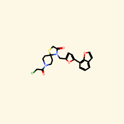 O=C(CCl)N1CCC2(CC1)SCC(=O)N2Cc1ccc(-c2cccc3ccoc23)o1